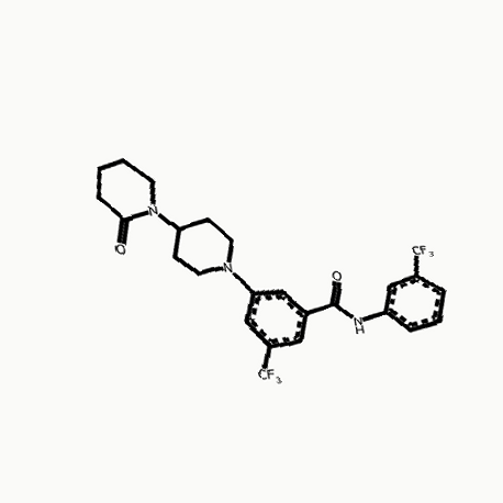 O=C(Nc1cccc(C(F)(F)F)c1)c1cc(N2CCC(N3CCCCC3=O)CC2)cc(C(F)(F)F)c1